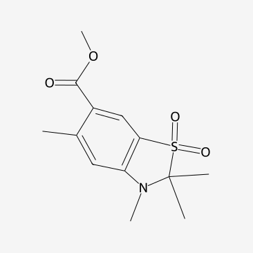 COC(=O)c1cc2c(cc1C)N(C)C(C)(C)S2(=O)=O